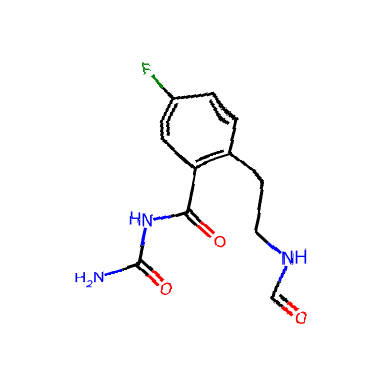 NC(=O)NC(=O)c1cc(F)ccc1CCNC=O